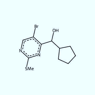 CSc1ncc(Br)c(C(O)C2CCCC2)n1